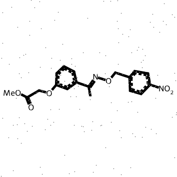 COC(=O)COc1cccc(C(C)=NOCc2ccc([N+](=O)[O-])cc2)c1